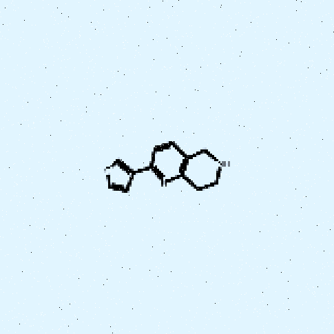 c1cc(-c2ccc3c(n2)CCNC3)co1